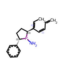 C=C/C=C\C(=C/C)[C@@H]1CC[C@@H](c2ccccc2)P1N